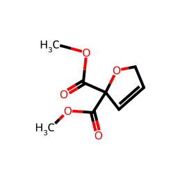 COC(=O)C1(C(=O)OC)C=CCO1